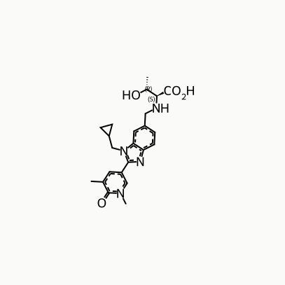 Cc1cc(-c2nc3ccc(CN[C@H](C(=O)O)[C@@H](C)O)cc3n2CC2CC2)cn(C)c1=O